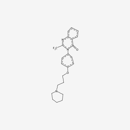 O=c1c2ccccc2nc(C(F)(F)F)n1-c1ccc(OCCCN2CCCCC2)cc1